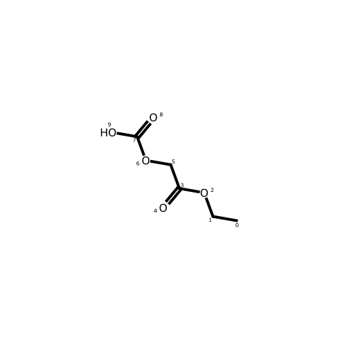 CCOC(=O)COC(=O)O